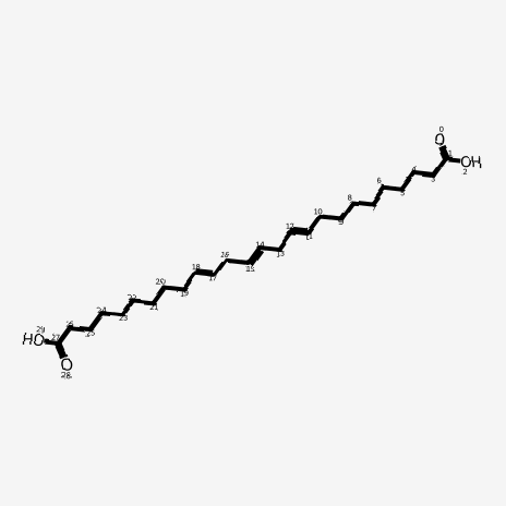 O=C(O)CCCCCCCC/C=C/C/C=C/C/C=C/CCCCCCCCC(=O)O